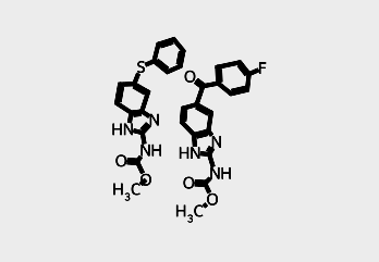 COC(=O)Nc1nc2cc(C(=O)c3ccc(F)cc3)ccc2[nH]1.COC(=O)Nc1nc2cc(Sc3ccccc3)ccc2[nH]1